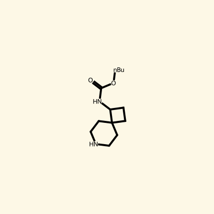 CCCCOC(=O)NC1CCC12CCNCC2